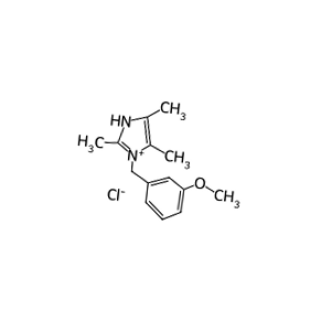 COc1cccc(C[n+]2c(C)[nH]c(C)c2C)c1.[Cl-]